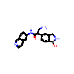 NCC(C(=O)Nc1ccc2cnccc2c1)c1ccc2c(c1)CNB2O